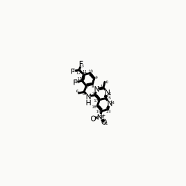 Cc1nc(NC(C)c2cccc(C(F)F)c2F)c2cc([N+](=O)[O-])cnc2n1